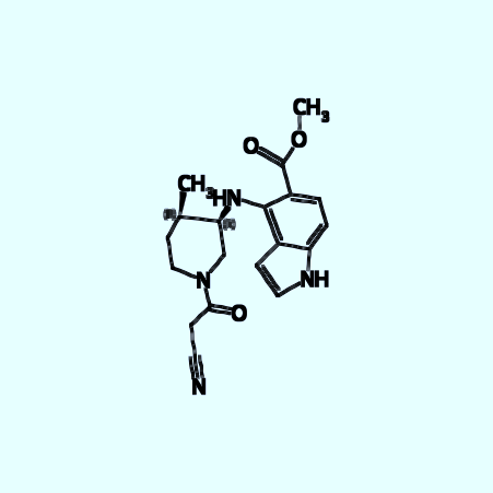 COC(=O)c1ccc2[nH]ccc2c1N[C@H]1CN(C(=O)CC#N)CC[C@H]1C